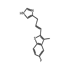 Cc1c(C=CCc2c[nH]cn2)sc2ccc(F)cc12